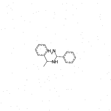 CC(NC(N)c1ccccc1)c1ccccc1